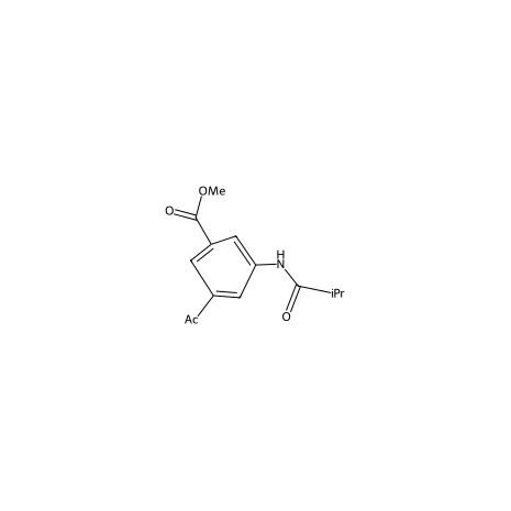 COC(=O)c1cc(NC(=O)C(C)C)cc(C(C)=O)c1